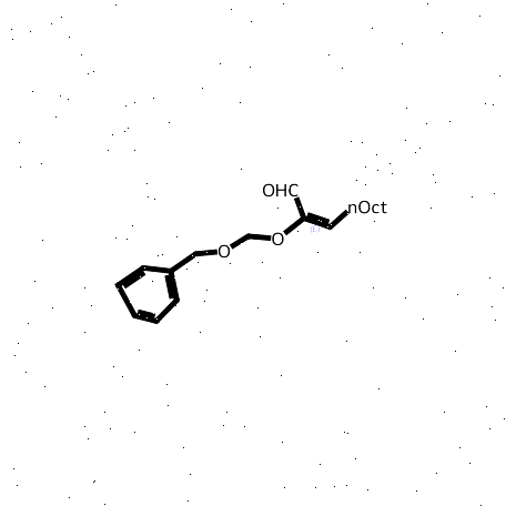 CCCCCCCC/C=C(\C=O)OCOCc1ccccc1